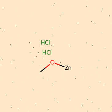 C[O][Zn].Cl.Cl